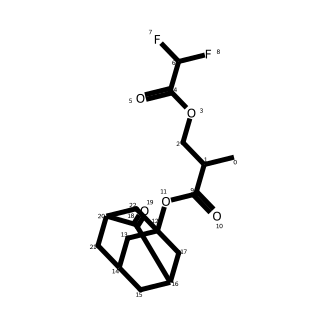 CC(COC(=O)C(F)F)C(=O)OC12CC3CC(C1)C(=O)C(C3)C2